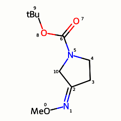 CON=C1CCN(C(=O)OC(C)(C)C)C1